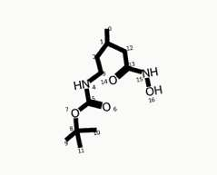 CC(CCNC(=O)OC(C)(C)C)CC(=O)NO